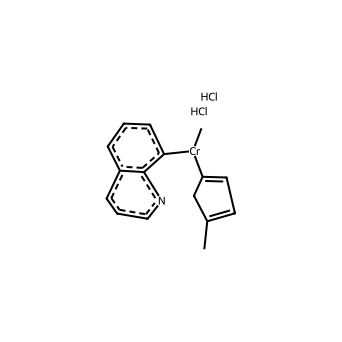 CC1=CC=[C]([Cr]([CH3])[c]2cccc3cccnc23)C1.Cl.Cl